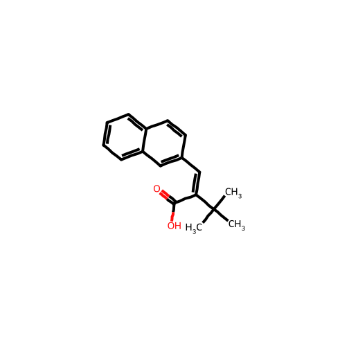 CC(C)(C)C(=Cc1ccc2ccccc2c1)C(=O)O